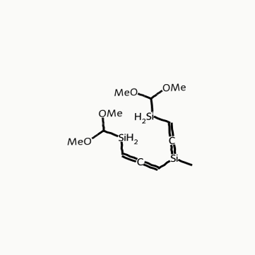 COC(OC)[SiH2]C=C=C[Si](C)=C=C[SiH2]C(OC)OC